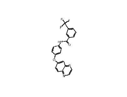 O=C(Nc1ccc(Oc2ccc3nccnc3c2)cc1)c1cccc(C(F)(F)F)c1